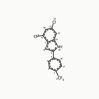 FC(F)(F)c1ccc(-c2nc3c(Cl)cc(Cl)cc3[nH]2)cc1